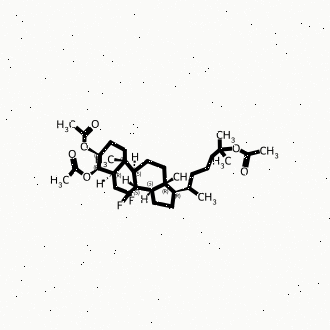 CC(=O)O[C@H]1[C@@H](OC(C)=O)CC[C@@]2(C)[C@H]1CC(F)(F)[C@@H]1[C@@H]2CC[C@]2(C)[C@@H](C(C)CCCC(C)(C)OC(C)=O)CC[C@@H]12